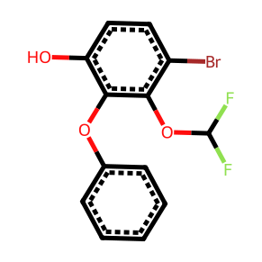 Oc1ccc(Br)c(OC(F)F)c1Oc1ccccc1